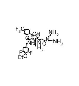 CCOc1c(F)cc(CNC(=O)[C@@H](NC(=O)[C@@H](N)CC(=O)N(CCN)CCN)[C@H](O)c2ccc(C(F)(F)F)cc2)cc1F